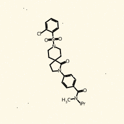 CC(C)N(C)C(=O)c1ccc(N2CCC3(CCN(S(=O)(=O)c4ccccc4Cl)CC3)C2=O)cc1